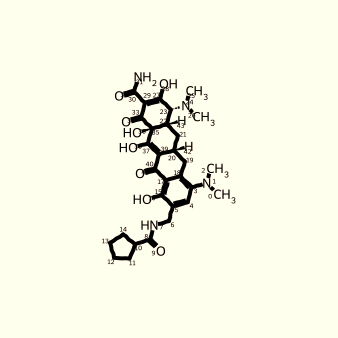 CN(C)c1cc(CNC(=O)C2CCCC2)c(O)c2c1C[C@H]1C[C@H]3[C@@H](N(C)C)C(O)=C(C(N)=O)C(=O)[C@@]3(O)C(O)=C1C2=O